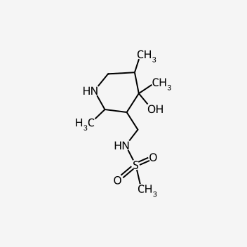 CC1NCC(C)C(C)(O)C1CNS(C)(=O)=O